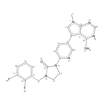 Cn1cc(-c2ccc(N3CCN(Cc4cccc(F)c4F)C3=O)nc2)c2c(N)ncnc21